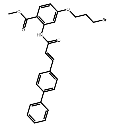 COC(=O)c1ccc(OCCCBr)cc1NC(=O)C=Cc1ccc(-c2ccccc2)cc1